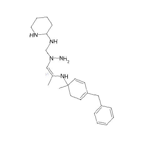 C/C(=C/N(N)CNC1CCCCN1)NC1(C)C=CC(Cc2ccccc2)=CC1